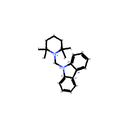 CC1(C)CCCC(C)(C)N1Cn1c2ccccc2c2ccccc21